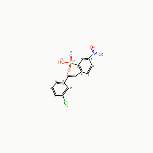 O=[N+]([O-])c1ccc(/C=C/c2cccc(Cl)c2)c(S(=O)(=O)O)c1